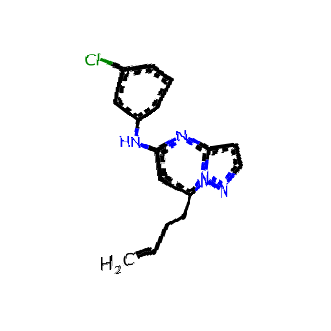 C=CCCc1cc(Nc2cccc(Cl)c2)nc2ccnn12